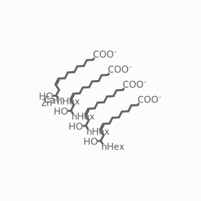 CCCCCCC(O)C/C=C\CCCCCCCC(=O)[O-].CCCCCCC(O)C/C=C\CCCCCCCC(=O)[O-].CCCCCCC(O)C/C=C\CCCCCCCC(=O)[O-].CCCCCCC(O)C/C=C\CCCCCCCC(=O)[O-].[Ca+2].[Zn+2]